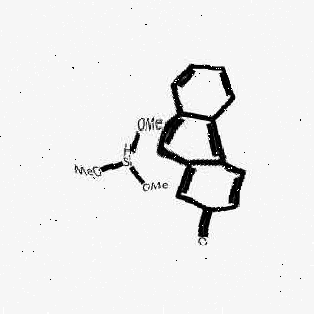 CO[SiH](OC)OC.O=C1C=CC2=c3ccccc3=CC2=C1